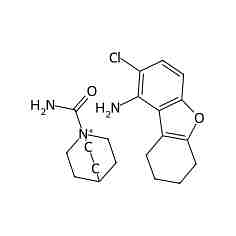 NC(=O)[N+]12CCC(CC1)CC2.Nc1c(Cl)ccc2oc3c(c12)CCCC3